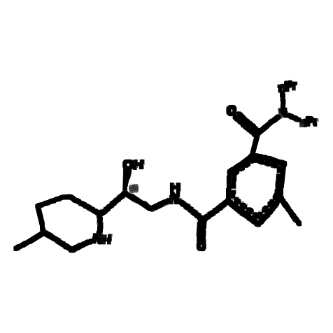 CCCN(CCC)C(=O)c1cc(C)cc(C(=O)NC[C@H](O)C2CCC(C)CN2)c1